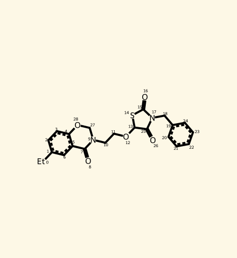 CCc1ccc2c(c1)C(=O)N(CCOC1SC(=O)N(Cc3ccccc3)C1=O)CO2